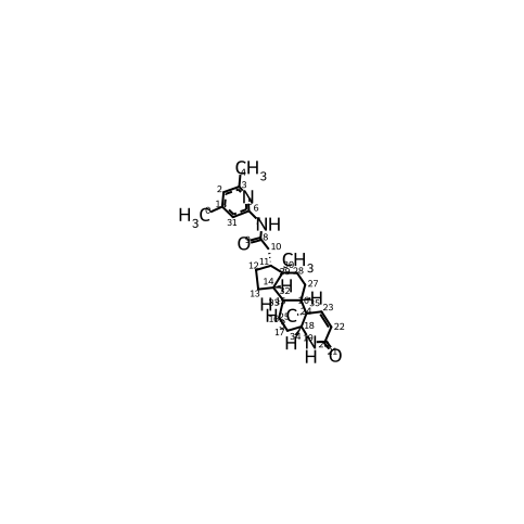 Cc1cc(C)nc(NC(=O)C[C@H]2CC[C@H]3[C@@H]4CC[C@H]5NC(=O)C=C[C@]5(C)[C@H]4CC[C@]23C)c1